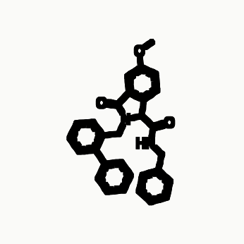 COc1ccc2c(c1)C(=O)N(Cc1ccccc1-c1ccccc1)C2C(=O)NCc1ccccc1